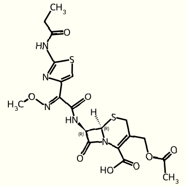 CCC(=O)Nc1nc(C(=NOC)C(=O)N[C@@H]2C(=O)N3C(C(=O)O)=C(COC(C)=O)CS[C@H]23)cs1